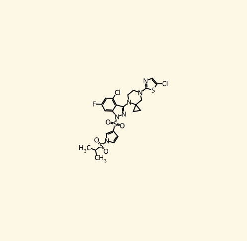 CC(C)S(=O)(=O)n1ccc(S(=O)(=O)n2nc(N3CCN(c4ncc(Cl)s4)CC34CC4)c3c(Cl)cc(F)cc32)c1